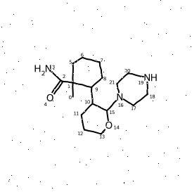 CC1(C(N)=O)CCCCC1C1CCCOC1N1CCNCC1